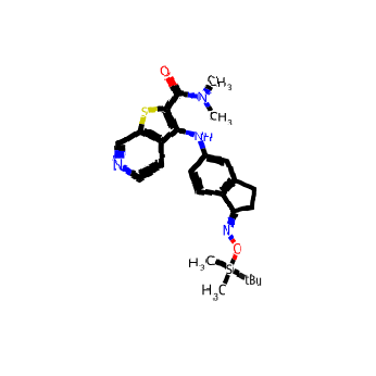 CN(C)C(=O)c1sc2cnccc2c1Nc1ccc2c(c1)CCC2=NO[Si](C)(C)C(C)(C)C